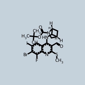 CSc1nc2c(F)c(Br)c(I)cc2c(NC2[C@@H]3C[C@H]2N(C(=O)OC(C)(C)C)C3)c1C=O